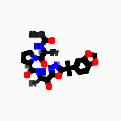 COC(=O)N[C@H](C(=O)N1CCC[C@H]1C(=O)N[C@H](C(=O)c1nnc(C(C)(C)c2ccc3c(c2)OCO3)o1)C(C)C)C(C)C